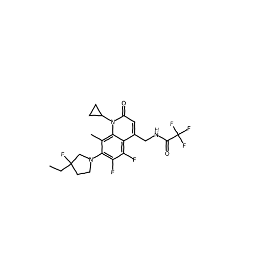 CCC1(F)CCN(c2c(F)c(F)c3c(CNC(=O)C(F)(F)F)cc(=O)n(C4CC4)c3c2C)C1